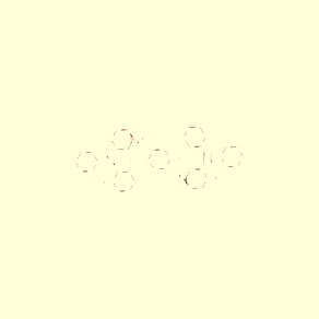 N#Cc1cc(Oc2ccccc2N2c3ccccc3Oc3ccccc32)c(C#N)cc1Oc1ccccc1N1c2ccccc2Oc2ccccc21